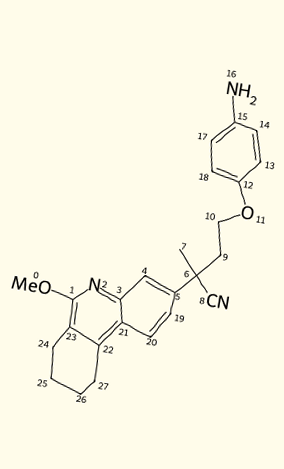 COc1nc2cc(C(C)(C#N)CCOc3ccc(N)cc3)ccc2c2c1CCCC2